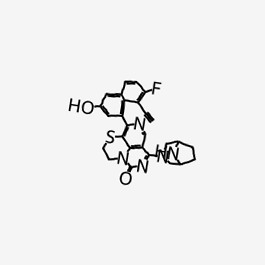 C#Cc1c(F)ccc2cc(O)cc(-c3ncc4c(N5CC6CCC(C5)N6)nc(=O)n5c4c3SCC5)c12